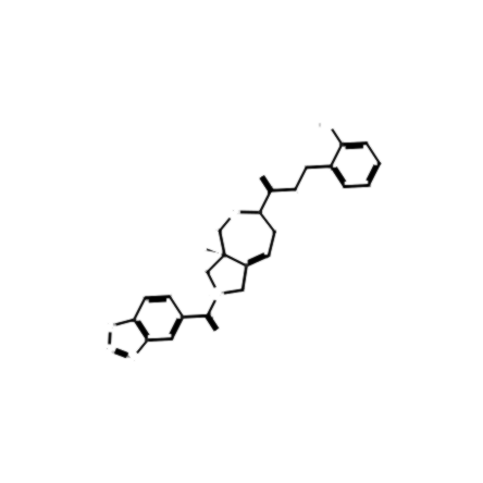 CC(C)c1ccccc1CCC(=O)C1CC=C2CN(C(=O)c3ccc4[nH]nnc4c3)C[C@@H]2CN1